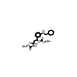 [2H]C([2H])(CC(OC(=O)OC(C)(C)C)c1cccc(NCC2CCCCC2)c1)NC(=O)OC(C)(C)C